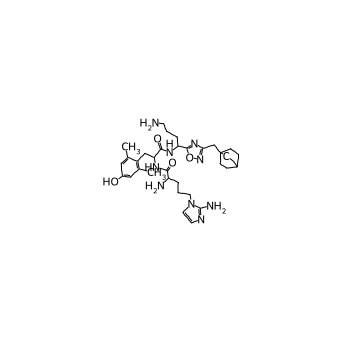 Cc1cc(O)cc(C)c1CC(NC(=O)C(N)CCCn1ccnc1N)C(=O)NC(CCCN)c1nc(CC23CCC(CC2)CC3)no1